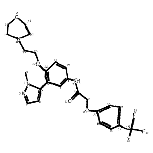 Cn1nccc1-c1cc(NC(=O)COc2ccc(C(F)(F)F)cc2)ccc1OCCN1CCOCC1